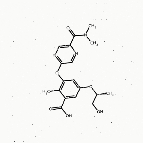 Cc1c(Oc2cnc(C(=O)N(C)C)cn2)cc(O[C@@H](C)CO)cc1C(=O)O